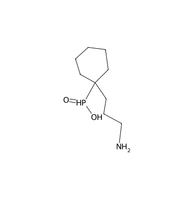 NCCCC1([PH](=O)O)CCCCC1